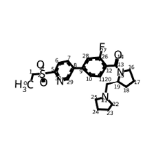 CCS(=O)(=O)c1ccc(-c2ccc(C(=O)N3CCC[C@H]3CN3CCCC3)c(F)c2)cn1